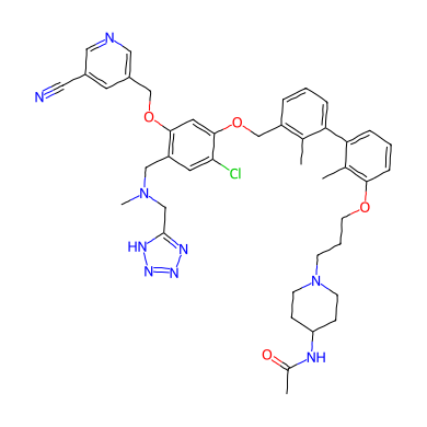 CC(=O)NC1CCN(CCCOc2cccc(-c3cccc(COc4cc(OCc5cncc(C#N)c5)c(CN(C)Cc5nnn[nH]5)cc4Cl)c3C)c2C)CC1